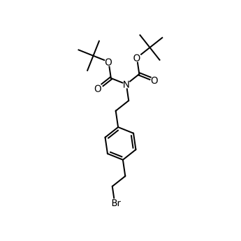 CC(C)(C)OC(=O)N(CCc1ccc(CCBr)cc1)C(=O)OC(C)(C)C